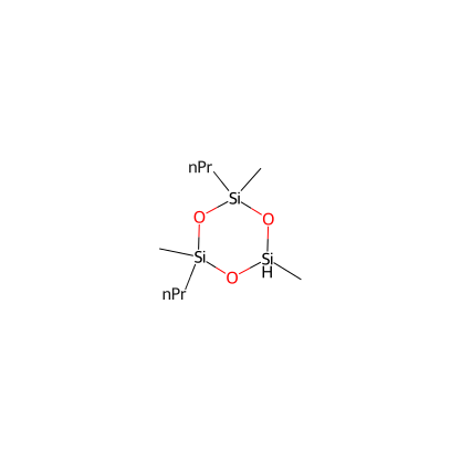 CCC[Si]1(C)O[SiH](C)O[Si](C)(CCC)O1